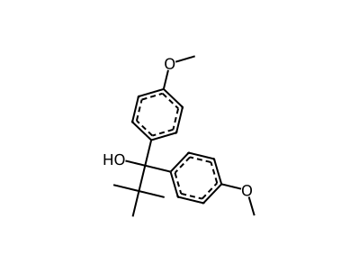 COc1ccc(C(O)(c2ccc(OC)cc2)C(C)(C)C)cc1